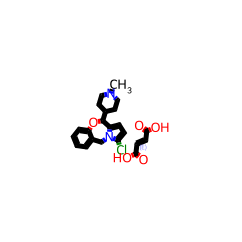 CN1CCC(C2Oc3ccccc3Cn3c(Cl)ccc32)CC1.O=C(O)/C=C/C(=O)O